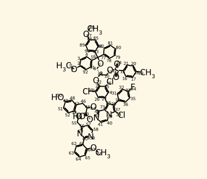 COc1ccc(C(OC[C@H](COS(=O)(=O)c2ccc(C)cc2)Oc2c(Cl)cc(-c3c(-c4ccc(F)cc4)c(Cl)n4ccnc(OC(Cc5cc(O)ccc5OCc5ccnc(-c6ccccc6OC)n5)C(=O)O)c34)cc2Cl)(c2ccccc2)c2ccc(OC)cc2)cc1